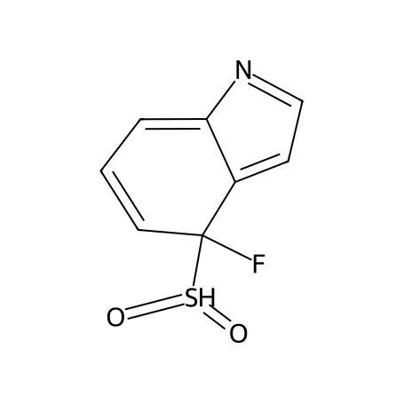 O=[SH](=O)C1(F)C=CC=C2N=CC=C21